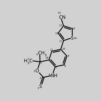 CC1(C)OC(=S)Nc2ccc(-c3cc(C#N)cs3)cc21